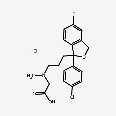 CN(CCCC1(c2ccc(Cl)cc2)OCc2cc(F)ccc21)CC(=O)O.Cl